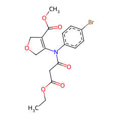 CCOC(=O)CC(=O)N(C1=C(C(=O)OC)COC1)c1ccc(Br)cc1